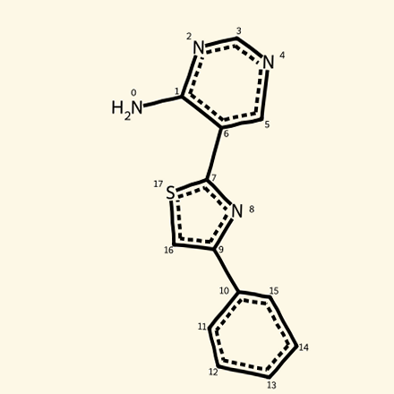 Nc1ncncc1-c1nc(-c2ccccc2)cs1